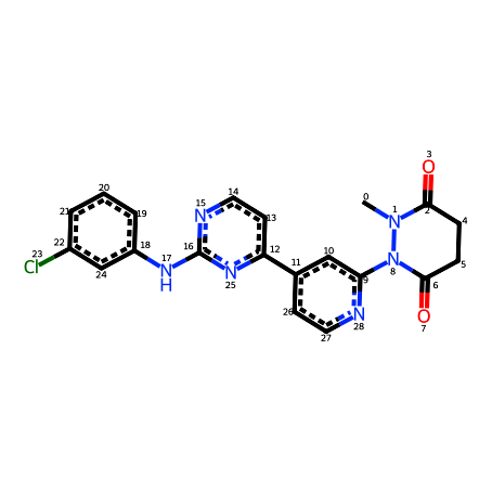 CN1C(=O)CCC(=O)N1c1cc(-c2ccnc(Nc3cccc(Cl)c3)n2)ccn1